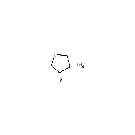 C1CCOC1.[BH4-].[Li+]